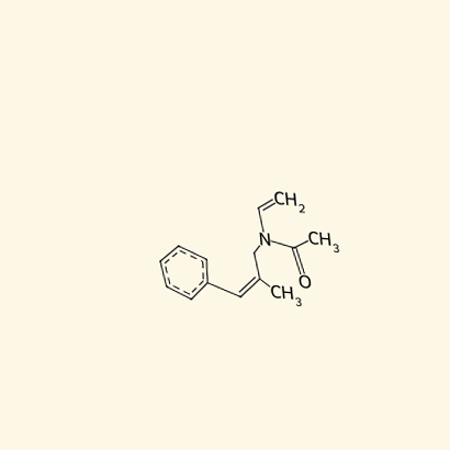 C=CN(C/C(C)=C\c1ccccc1)C(C)=O